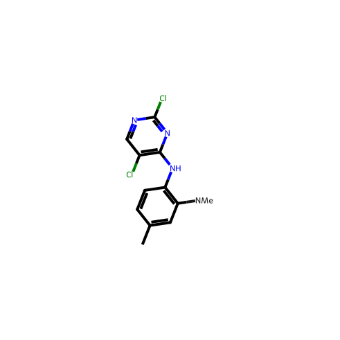 CNc1cc(C)ccc1Nc1nc(Cl)ncc1Cl